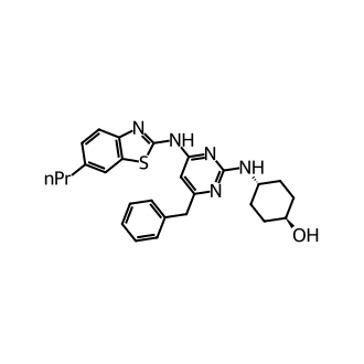 CCCc1ccc2nc(Nc3cc(Cc4ccccc4)nc(N[C@H]4CC[C@H](O)CC4)n3)sc2c1